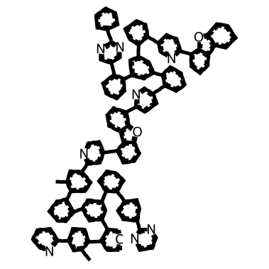 Cc1cc(-c2ccccn2)ccc1-c1ccccc1-c1cc(-c2ccccc2-c2ccc(-c3ncccn3)cc2)cc(-c2ccccc2-c2ccc(-c3cc(-c4cccc5oc6c(-c7ccc(-c8ccccc8-c8cc(-c9ccccc9-c9ccc(-c%10cccc%11c%10oc%10ccccc%10%11)nc9)cc(-c9ccccc9-c9cnc(-c%10ccccc%10)nc9)c8)cn7)cccc6c45)ccn3)cc2C)c1